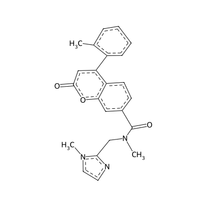 Cc1ccccc1-c1cc(=O)oc2cc(C(=O)N(C)Cc3nccn3C)ccc12